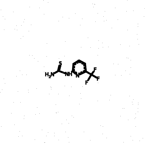 NC(=S)Nc1cccc(C(F)(F)F)n1